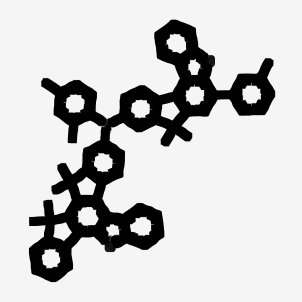 Cc1cccc(-c2cc3c(c4c2oc2ccccc24)-c2ccc(N(c4ccc5c(c4)C(C)(C)c4c6c(c7oc8ccccc8c7c4-5)-c4ccccc4C6(C)C)c4ccc(C)cc4C)cc2C3(C)C)c1